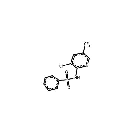 O=S(=O)(Nc1ncc(C(F)(F)F)cc1Cl)c1ccccc1